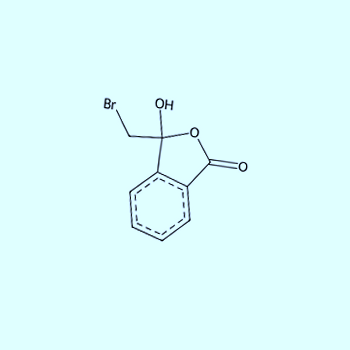 O=C1OC(O)(CBr)c2ccccc21